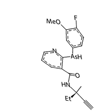 C#C[C@](C)(CC)NC(=O)c1cccnc1[AsH]c1ccc(F)c(OC)c1